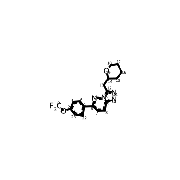 FC(F)(F)Oc1ccc(-c2ccc3nnc(CC4CCCCO4)n3n2)cc1